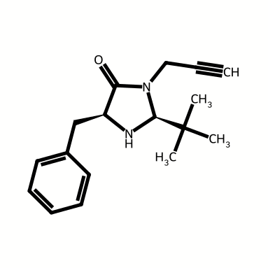 C#CCN1C(=O)[C@H](Cc2ccccc2)N[C@@H]1C(C)(C)C